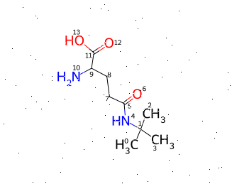 CC(C)(C)NC(=O)CCC(N)C(=O)O